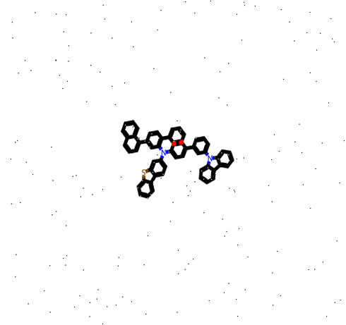 c1ccc(-c2ccc(-c3cccc4ccccc34)cc2N(c2ccc(-c3cccc(-n4c5ccccc5c5ccccc54)c3)cc2)c2ccc3c(c2)sc2ccccc23)cc1